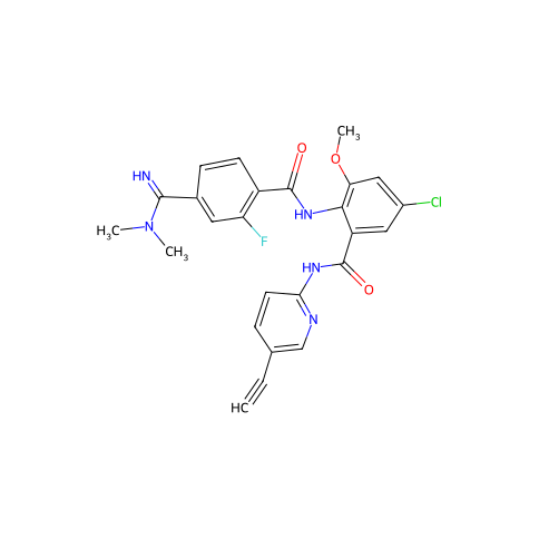 C#Cc1ccc(NC(=O)c2cc(Cl)cc(OC)c2NC(=O)c2ccc(C(=N)N(C)C)cc2F)nc1